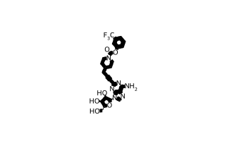 Nc1nc(C#CCC2CCN(C(=O)Oc3cccc(C(F)(F)F)c3)CC2)nc2c1ncn2[C@@H]1O[C@H](CO)[C@@H](O)[C@H]1O